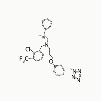 C[C@@H](CN(CCCOc1cccc(Cn2ncnn2)c1)Cc1cccc(C(F)(F)F)c1Cl)c1ccccc1